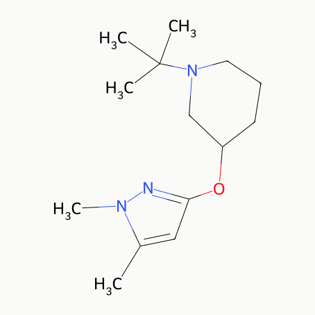 Cc1cc(OC2CCCN(C(C)(C)C)C2)nn1C